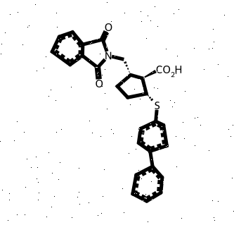 O=C(O)[C@@H]1[C@@H](CN2C(=O)c3ccccc3C2=O)CC[C@H]1Sc1ccc(-c2ccccc2)cc1